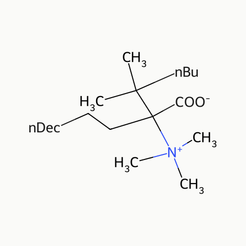 CCCCCCCCCCCCC(C(=O)[O-])(C(C)(C)CCCC)[N+](C)(C)C